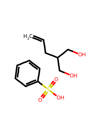 C=CCC(CO)CO.O=S(=O)(O)c1ccccc1